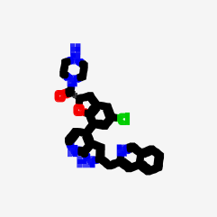 O=C([C@@H]1Cc2cc(Cl)cc(-c3ccnc4[nH]c(Cc5cc6ccccc6cn5)cc34)c2O1)N1CCNCC1